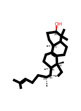 CC(C)=CCC[C@@H](C)[C@H]1CC[C@@]2(C)C3=C(CC[C@]12C)[C@@]1(C)CC[C@@H](O)C(C)(C)C1CC3